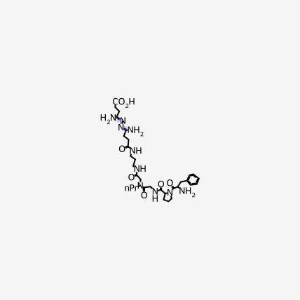 CCCN(CC(=O)NCCCNC(=O)CC/C(N)=N/N=C(\N)CCC(=O)O)C(=O)CNC(=O)C1CCCN1C(=O)C(N)Cc1ccccc1